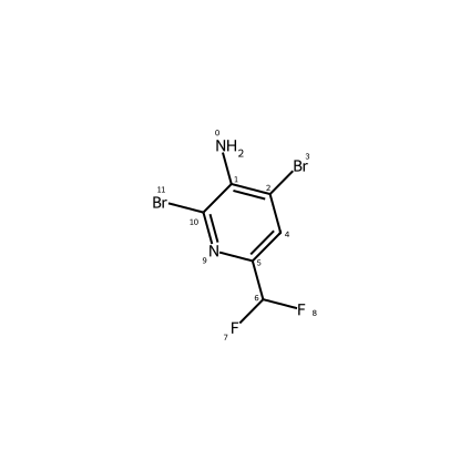 Nc1c(Br)cc(C(F)F)nc1Br